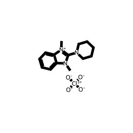 Cn1c(N2CCCCC2)[n+](C)c2ccccc21.[O-][Cl+3]([O-])([O-])[O-]